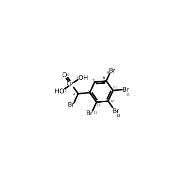 O=P(O)(O)C(Br)c1cc(Br)c(Br)c(Br)c1Br